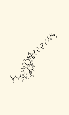 CC(C)CCC[C@@H](C)[C@H]1CCC2C3CC=C4CC(OC(=O)NCCCCCCCCCCCCN)CC[C@]4(C)C3CC[C@@]21C